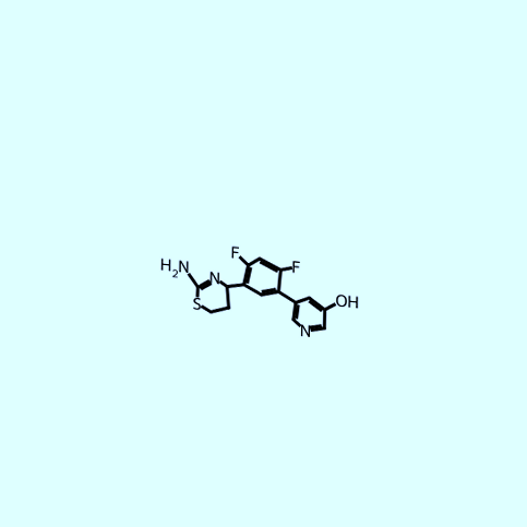 NC1=NC(c2cc(-c3cncc(O)c3)c(F)cc2F)CCS1